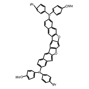 COc1ccc(N(c2ccc(C(C)C)cc2)c2ccc3cc4c(cc3c2)oc2cc3oc5cc6cc(N(c7ccc(OC)cc7)c7ccc(C(C)C)cc7)ccc6cc5c3cc24)cc1